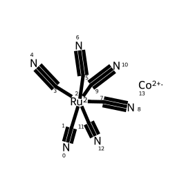 N#[C][Ru-2]([C]#N)([C]#N)([C]#N)([C]#N)[C]#N.[Co+2]